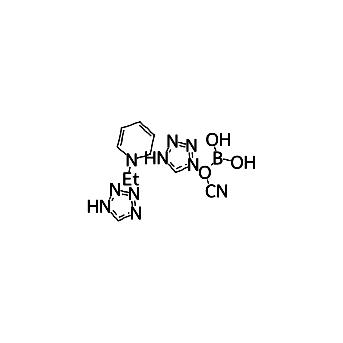 CCN1C=CC=CC1.N#COB(O)O.c1nnn[nH]1.c1nnn[nH]1